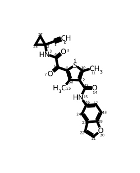 C#CC1(NC(=O)C(=O)c2sc(C)c(C(=O)Nc3ccc4occc4c3)c2C)CC1